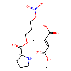 O=C(O)C=CC(=O)O.O=C(OCCCO[N+](=O)[O-])[C@@H]1CCCN1